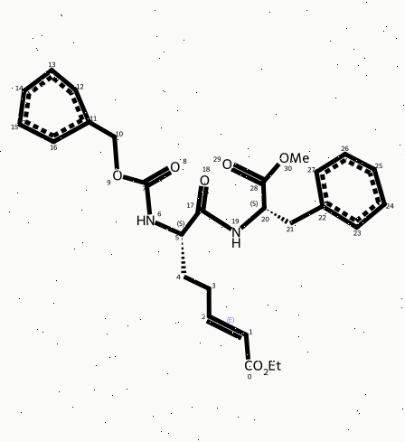 CCOC(=O)/C=C/CC[C@H](NC(=O)OCc1ccccc1)C(=O)N[C@@H](Cc1ccccc1)C(=O)OC